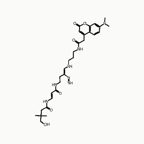 CN(C)c1ccc2c(CC(=O)NCCCN/C=C(/CCNC(=O)/C=C/NC(=O)CC(C)(C)CO)N=N)cc(=O)oc2c1